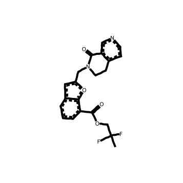 CC(F)(F)COC(=O)c1cccc2cc(CN3CCc4ccncc4C3=O)oc12